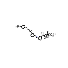 CCCCc1ccc(CCCCOc2cccc(/C=C/c3cccc(NC(=O)CC(CC)(CC)C(=O)O)c3)c2)cc1